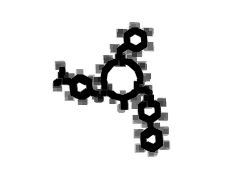 C=C1CN(Sc2ccc(N(C)C)cc2)CCCN(CC2CCCCC2)CCCN(SN2CCC(c3ccccc3)CC2)C1